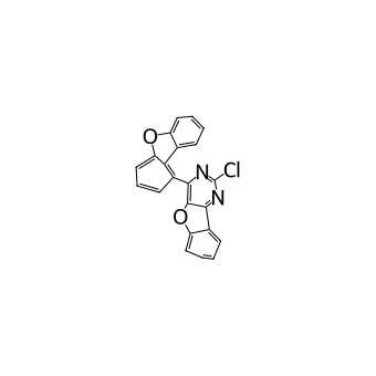 Clc1nc(-c2cccc3oc4ccccc4c23)c2oc3ccccc3c2n1